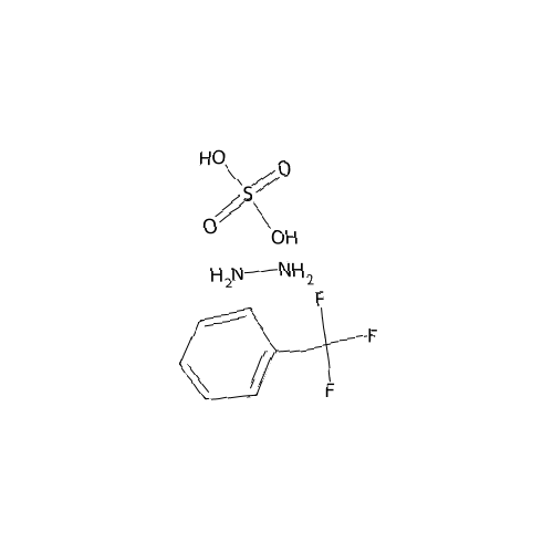 FC(F)(F)c1ccccc1.NN.O=S(=O)(O)O